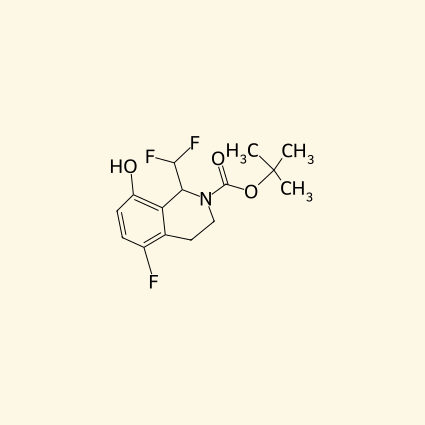 CC(C)(C)OC(=O)N1CCc2c(F)ccc(O)c2C1C(F)F